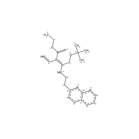 CCOC(=O)/C(C=N)=C(\COC(C)(C)C)NCCc1ccc2cccnc2n1